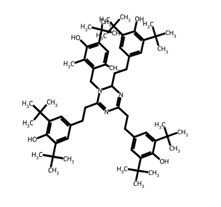 Cc1cc(C(C)(C)C)c(O)c(C)c1CN1C(CCc2cc(C(C)(C)C)c(O)c(C(C)(C)C)c2)=NC(CCc2cc(C(C)(C)C)c(O)c(C(C)(C)C)c2)=NC1CCc1cc(C(C)(C)C)c(O)c(C(C)(C)C)c1